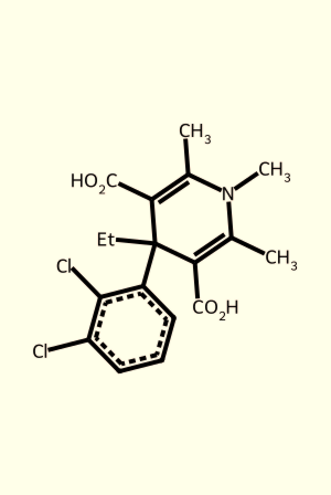 CCC1(c2cccc(Cl)c2Cl)C(C(=O)O)=C(C)N(C)C(C)=C1C(=O)O